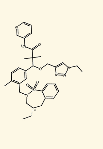 CC[C@H]1Cc2ccccc2S(=O)(=O)N(Cc2cc(C(OCc3cn(CC)nn3)C(C)(C)C(=O)Nc3cccnc3)ccc2C)C1